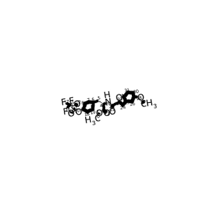 COC(=O)[C@H](Cc1ccc(OS(=O)(=O)C(F)(F)F)cc1)NC(=O)c1cc2cc(OC)ccc2o1